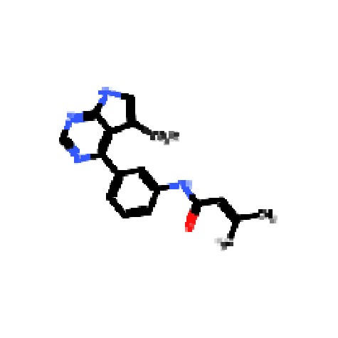 CCOC(=O)c1c[nH]c2ncnc(-c3cccc(NC(=O)C=C(C)C)c3)c12